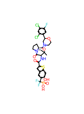 CC(C)(C)C(NC(=O)c1cc2cc(C(F)(F)P(=O)(O)O)ccc2s1)C(=O)N1CCC[C@H]1C(=O)N1CCOC(c2cc(F)c(Cl)cc2Cl)C1